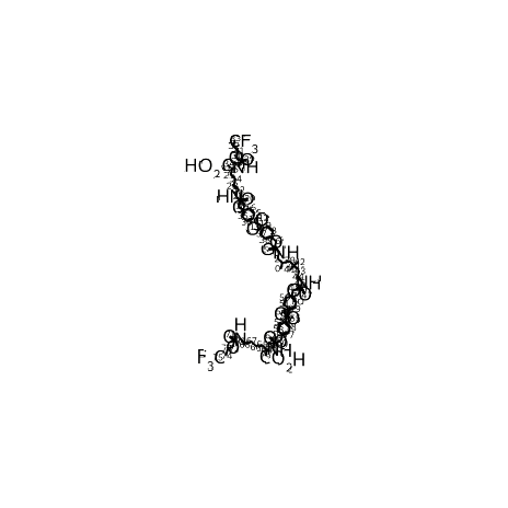 CC(CNC(=O)Oc1ccc(S(=O)(=O)c2ccc(OC(=O)NCCCCC(NC(=O)OCCC(F)(F)F)C(=O)O)cc2)cc1)CC(C)(C)CCNC(=O)Oc1ccc(S(=O)(=O)c2ccc(OC(=O)NC(CCCCNC(=O)OCCC(F)(F)F)C(=O)O)cc2)cc1